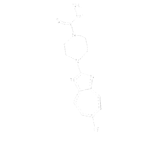 NNC(=S)N1CCN(c2nc3ccc(C(F)(F)F)ccc-3n2)CC1